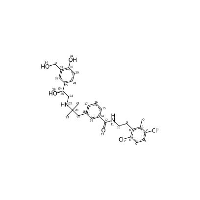 Cc1c(Cl)ccc(Cl)c1CCNC(=O)c1cccc(CC(C)(C)NC[C@@H](O)c2ccc(O)c(CO)c2)c1